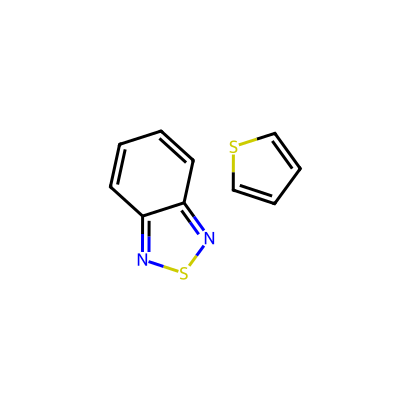 c1ccc2nsnc2c1.c1ccsc1